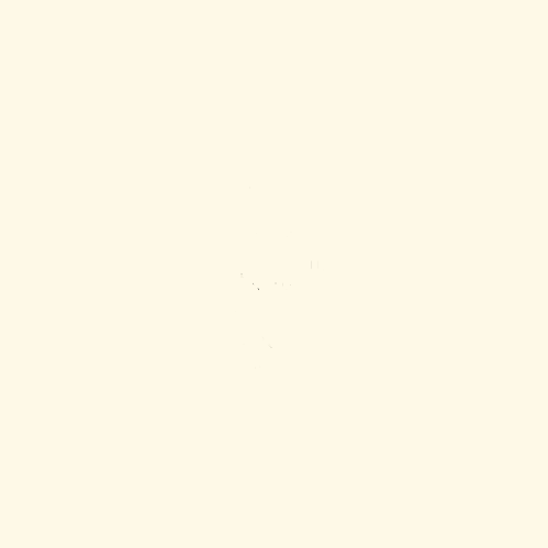 CCCCOC[C@@H](C(=O)N1C(=O)OC[C@H]1Cc1ccccc1)C(C)C